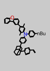 C=Cc1ccc(C23CC4CC(C2)CC(c2ccc(N(c5ccc(CCCC)cc5)c5cc(C)c(-c6ccc7oc8ccccc8c7c6)cc5C)cc2)(C4)C3)cc1